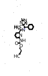 C#CCCOC(=O)Nc1cccc(C(O)/N=C(/c2ccccc2)C2(C)N=NN=N2)n1